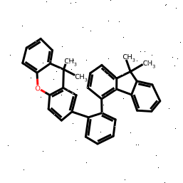 CC1(C)c2ccccc2Oc2ccc(-c3ccccc3-c3cccc4c3-c3ccccc3C4(C)C)cc21